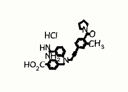 Cc1cc(C#CCN(Cc2ccc(C(=O)O)cc2)c2cccc(C(=N)N)c2)ccc1C(=O)N1CCCC1.Cl